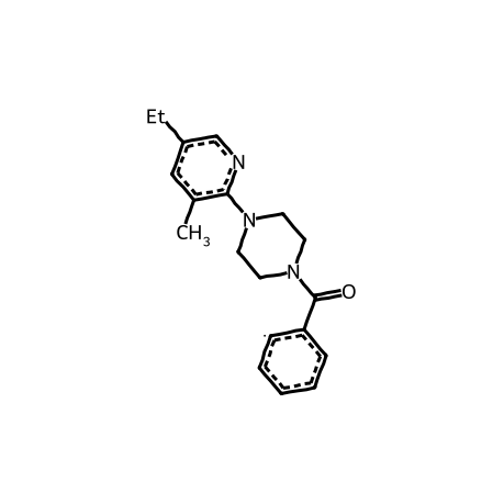 CCc1cnc(N2CCN(C(=O)c3[c]cccc3)CC2)c(C)c1